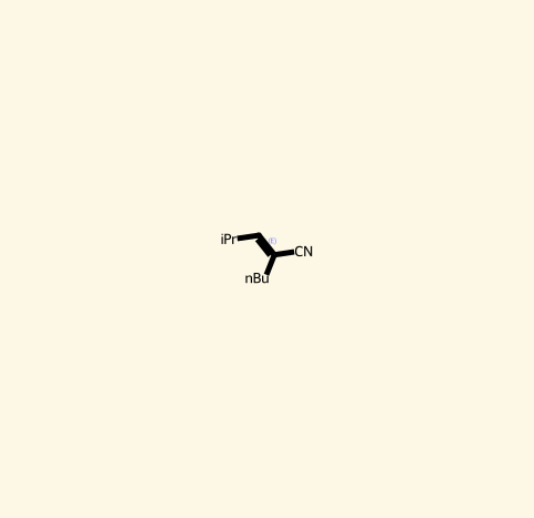 CCCC/C(C#N)=C\C(C)C